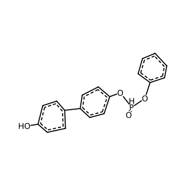 O=[PH](Oc1ccccc1)Oc1ccc(-c2ccc(O)cc2)cc1